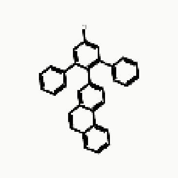 Clc1cc(-c2ccccc2)c(-c2ccc3c(ccc4ccccc43)c2)c(-c2ccccc2)c1